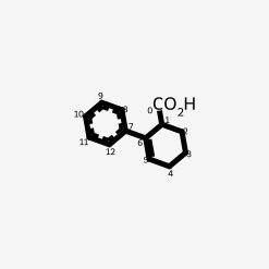 O=C(O)C1CCCC=C1c1ccccc1